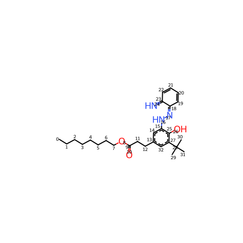 CCCCCCCCOC(=O)CCc1cc(N/N=C2/C=CC=CC2=N)c(O)c(C(C)(C)C)c1